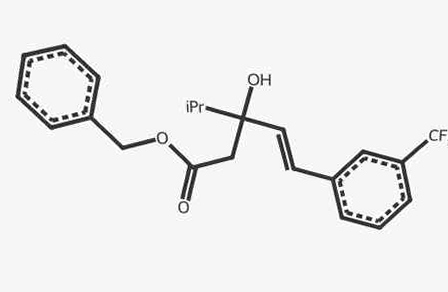 CC(C)C(O)(C=Cc1cccc(C(F)(F)F)c1)CC(=O)OCc1ccccc1